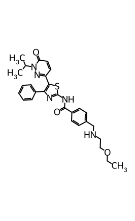 CCOCCNCc1ccc(C(=O)Nc2nc(-c3ccccc3)c(-c3ccc(=O)n(C(C)C)n3)s2)cc1